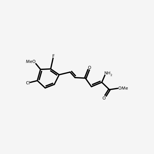 COC(=O)/C(N)=C/C(=O)/C=C/c1ccc(Cl)c(OC)c1F